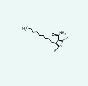 CCCCCCCCCc1c(Br)sc(Br)c1C(N)=O